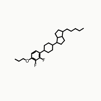 CCCCCC1CCC2C(C3CCC(c4ccc(OCCC)c(F)c4F)CC3)CCC12